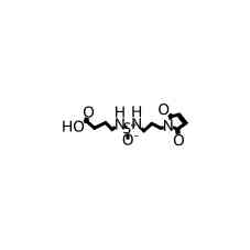 O=C(O)CCCN[S+]([O-])NCCCN1C(=O)C=CC1=O